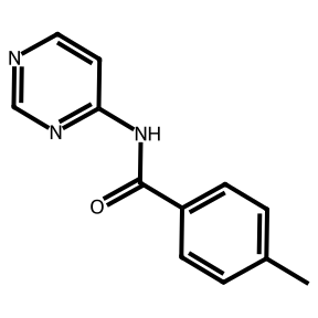 Cc1ccc(C(=O)Nc2ccncn2)cc1